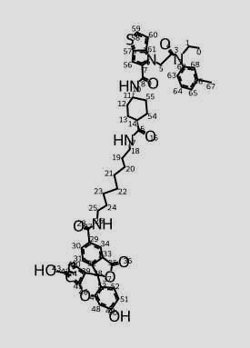 CCN(C(=O)Cn1c(C(=O)N[C@H]2CC[C@H](C(=O)NCCCCCCCCNC(=O)c3ccc4c(c3)C(=O)OC43c4ccc(O)cc4Oc4cc(O)ccc43)CC2)cc2sccc21)c1cccc(C)c1